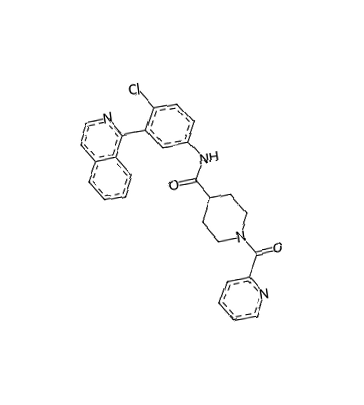 O=C(Nc1ccc(Cl)c(-c2nccc3ccccc23)c1)C1CCN(C(=O)c2ccccn2)CC1